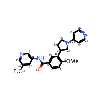 COc1ccc(C(=O)Nc2cncc(C(F)(F)F)c2)cc1C1CCN(c2ccncc2)C1